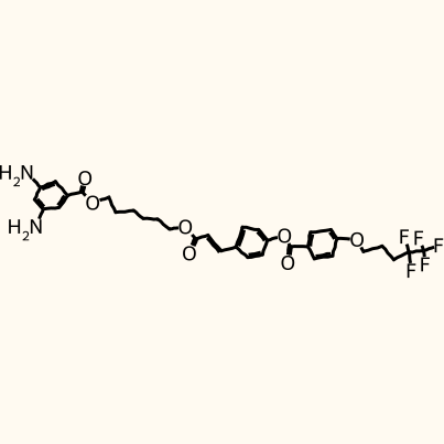 Nc1cc(N)cc(C(=O)OCCCCCCOC(=O)/C=C/c2ccc(OC(=O)c3ccc(OCCCC(F)(F)C(F)(F)F)cc3)cc2)c1